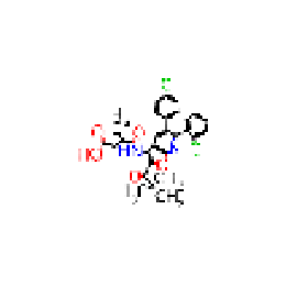 CC(CC(=O)O)C(=O)Nc1c(C(=O)C(C)(C)C)oc2nc(-c3ccccc3Cl)c(-c3ccc(Cl)cc3)cc12